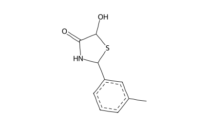 Cc1cccc(C2NC(=O)C(O)S2)c1